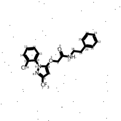 O=C(COc1cc(C(F)(F)F)nn1-c1ccccc1Cl)NCCc1ccccc1